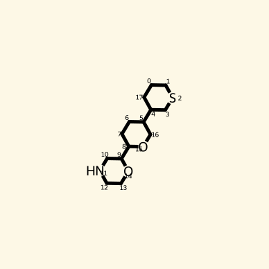 C1CSCC(C2CCC(C3CNCCO3)OC2)C1